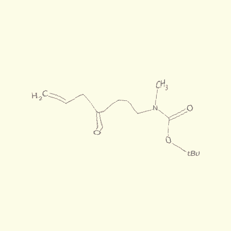 C=CCC(=O)CCN(C)C(=O)OC(C)(C)C